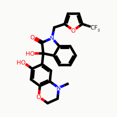 CN1CCOc2cc(O)c(C3(O)C(=O)N(Cc4ccc(C(F)(F)F)o4)c4ccccc43)cc21